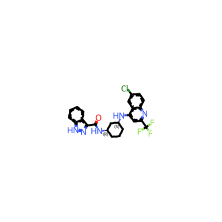 O=C(N[C@@H]1CCC[C@H](Nc2cc(C(F)(F)F)nc3ccc(Cl)cc23)C1)c1n[nH]c2ccccc12